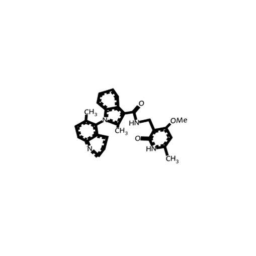 COc1cc(C)[nH]c(=O)c1CNC(=O)c1c(C)n(-c2c(C)ccc3ncccc23)c2ccccc12